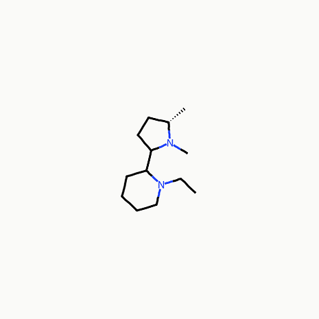 CCN1CCCCC1C1CC[C@H](C)N1C